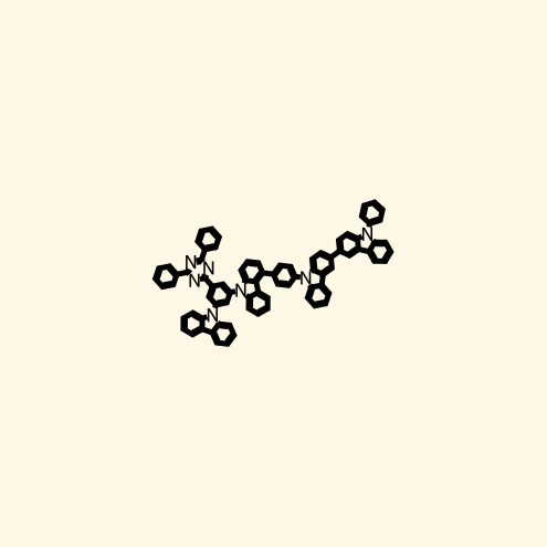 c1ccc(-c2nc(-c3ccccc3)nc(-c3cc(-n4c5ccccc5c5ccccc54)cc(-n4c5ccccc5c5c(-c6ccc(-n7c8ccccc8c8cc(-c9ccc%10c(c9)c9ccccc9n%10-c9ccccc9)ccc87)cc6)cccc54)c3)n2)cc1